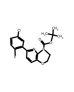 CC(C)(C)OC(=O)N1CCOc2ccc(-c3cc(Cl)ccc3F)nc21